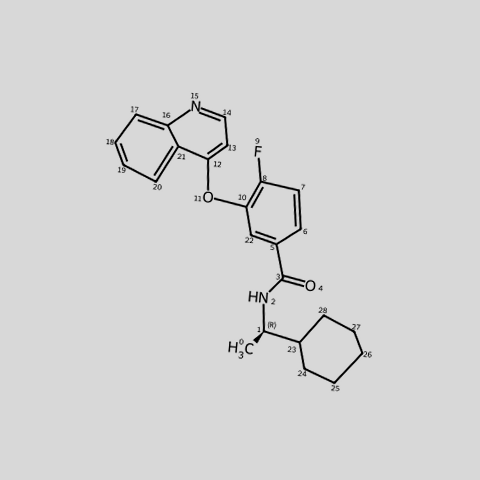 C[C@@H](NC(=O)c1ccc(F)c(Oc2ccnc3ccccc23)c1)C1CCCCC1